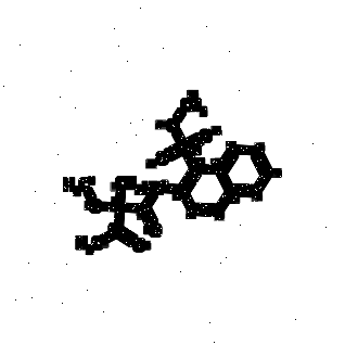 COC(C)(C(C)=O)C(=O)Nc1ccc2ccccc2c1S(=O)(=O)OC